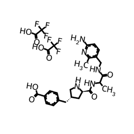 Cc1nc(N)ccc1CNC(=O)C(C)NC(=O)[C@H]1C[C@H](Cc2ccc(C(=O)O)cc2)CN1.O=C(O)C(F)(F)F.O=C(O)C(F)(F)F